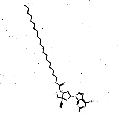 C#C[C@]1(CO)O[C@@H](n2cnc3c(N)nc(F)nc32)C[C@@H]1OC(=O)OCCCCCCCCCCCCCCCCCCCC